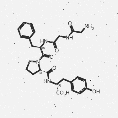 NCC(=O)NCC(=O)N[C@H](Cc1ccccc1)C(=O)N1CCC[C@H]1C(=O)N[C@H](Cc1ccc(O)cc1)C(=O)O